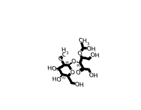 COC1[C@@H](O[C@@H](C(=O)CO)C(CO)OC(C)O)OC(CO)[C@@H](O)[C@H]1O